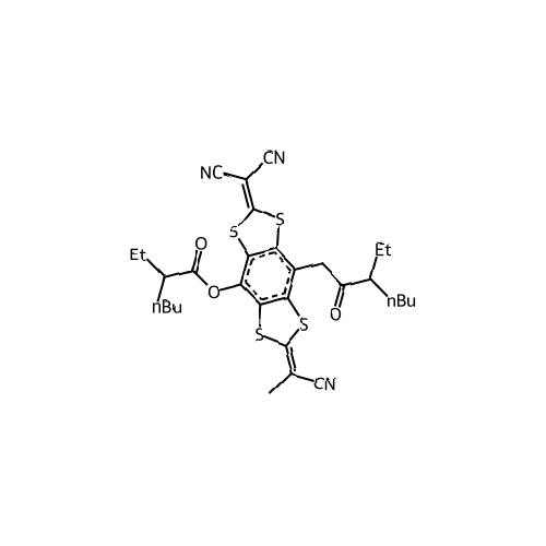 CCCCC(CC)C(=O)Cc1c2c(c(OC(=O)C(CC)CCCC)c3c1S/C(=C(/C)C#N)S3)SC(=C(C#N)C#N)S2